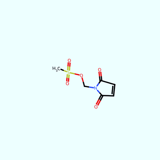 CS(=O)(=O)OCN1C(=O)C=CC1=O